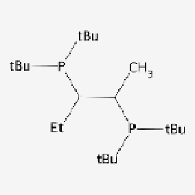 CCC(C(C)P(C(C)(C)C)C(C)(C)C)P(C(C)(C)C)C(C)(C)C